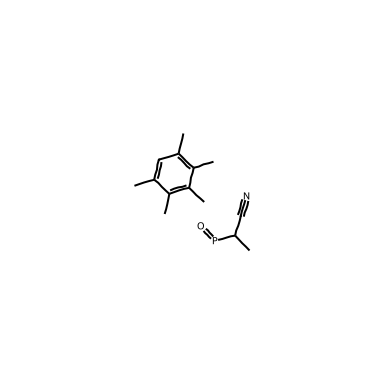 CC(C#N)P=O.Cc1cc(C)c(C)c(C)c1C